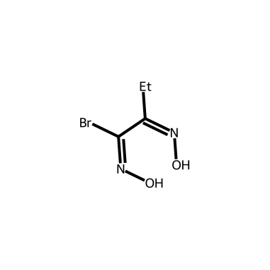 CCC(=N/O)/C(Br)=N\O